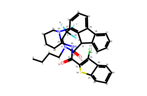 CCCCN(CC(F)(F)F)C(=O)C1c2ccccc2-c2cccc(N3CCCCC3NC(=O)c3sc4ccccc4c3Cl)c21